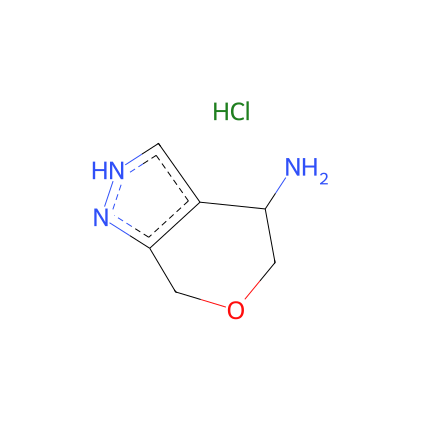 Cl.NC1COCc2n[nH]cc21